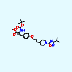 COC(=O)[C@H](Cc1ccc(OCCCC2CCN(c3nc(C(C)C)no3)CC2)cc1)NC(=O)OC(C)(C)C